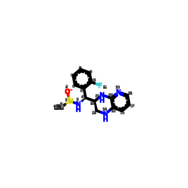 CC(C)(C)[S@@+]([O-])N[C@H](c1ccccc1F)[C@@H]1CNc2cccnc2N1